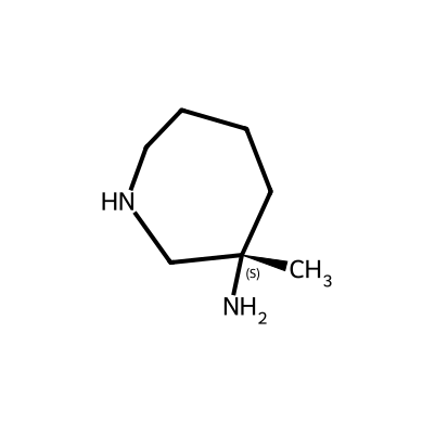 C[C@]1(N)CCCCNC1